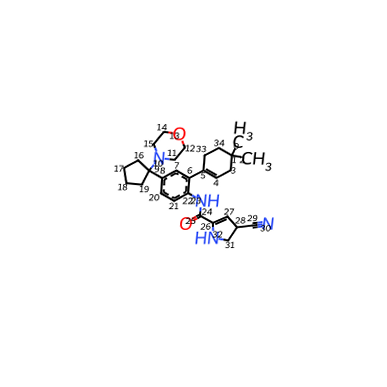 CC1(C)CC=C(c2cc(C3(N4CCOCC4)CCCC3)ccc2NC(=O)C2=CC(C#N)CN2)CC1